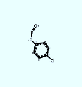 O=BOc1ccc(Cl)cc1